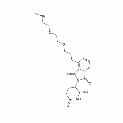 CNCCOCCOCCCc1cccc2c1C(=O)N(C1CCC(=O)NC1=O)C2=O